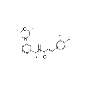 C[C@@H]1CN(c2cccc([C@H](C)NC(=O)C=Cc3ccc(F)c(F)c3)c2)C[C@H](C)O1